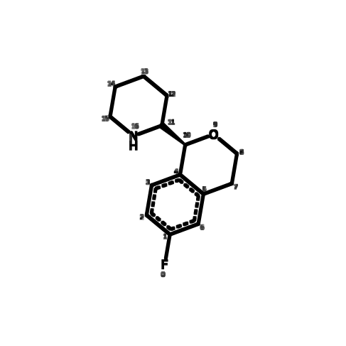 Fc1ccc2c(c1)CCO[C@@H]2C1CCCCN1